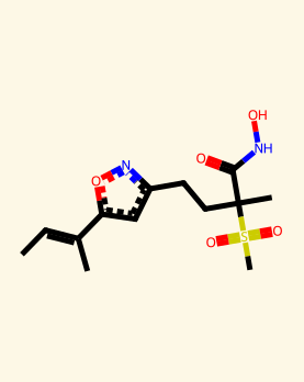 C/C=C(\C)c1cc(CCC(C)(C(=O)NO)S(C)(=O)=O)no1